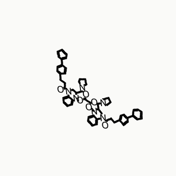 O=C(ON1c2ccccc2N(C(=O)CCc2ccc(-c3ccccc3)cc2)CC1CN1CCCC1)C(=O)ON1c2ccccc2N(C(=O)CCc2ccc(-c3ccccc3)cc2)CC1CN1CCCC1